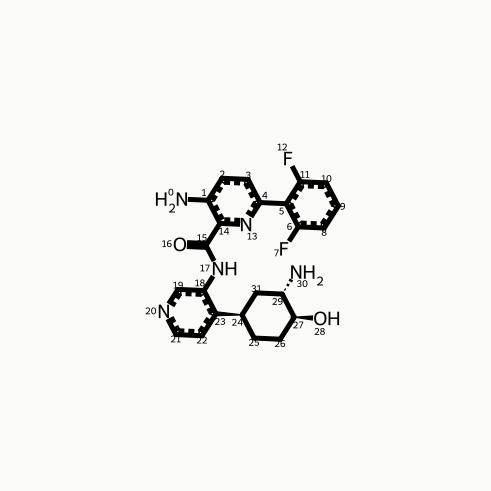 Nc1ccc(-c2c(F)cccc2F)nc1C(=O)Nc1cnccc1[C@@H]1CC[C@H](O)[C@@H](N)C1